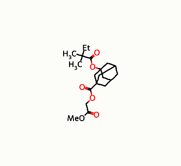 CCC(C)(C)C(=O)OC12CC3CC(C1)CC(C(=O)OCC(=O)OC)(C3)C2